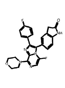 O=C1Cc2cc(-c3c(-c4ccc(F)cc4)nc4c(N5CCOCC5)ncc(F)n34)ccc2N1